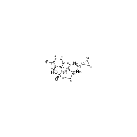 Cc1c(F)cccc1[C@@]1(C(=O)O)CCc2nc(C3CC3)ncc21